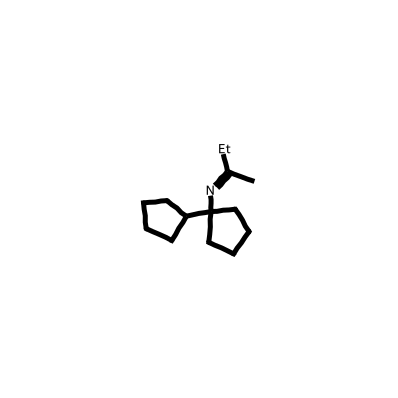 CCC(C)=NC1(C2CCCC2)CCCC1